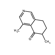 Cc1cncc2c1C(=O)C(C)CC2